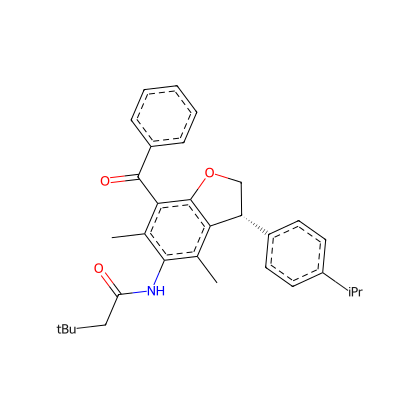 Cc1c(NC(=O)CC(C)(C)C)c(C)c2c(c1C(=O)c1ccccc1)OC[C@@H]2c1ccc(C(C)C)cc1